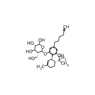 C#CCCCCc1cc(O)c([C@@H]2C=C(C)CC[C@H]2C(=C)C)c(OC2O[C@H](O)[C@@H](O)[C@H](O)[C@H]2CO)c1